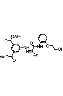 COC(=O)c1cc(N/N=C(/C(C)=O)C(=O)NC2=C(OCCO)CCC=C2)cc(C(=O)OC)c1